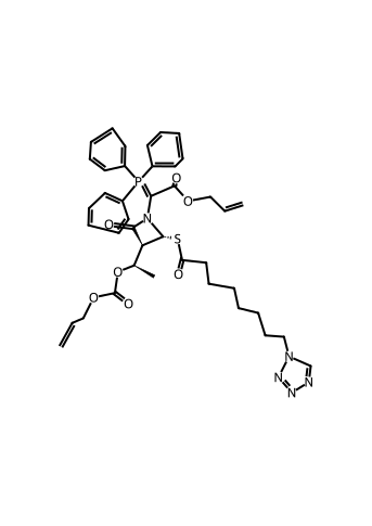 C=CCOC(=O)O[C@H](C)[C@H]1C(=O)N(C(C(=O)OCC=C)=P(c2ccccc2)(c2ccccc2)c2ccccc2)[C@@H]1SC(=O)CCCCCCCn1cnnn1